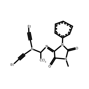 CCC#CN(C#CCC)C(N=C1C(=O)N(C)C(=O)N1c1ccccc1)C(Cl)(Cl)Cl